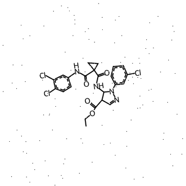 CCOC(=O)C1C=NN(c2cccc(Cl)c2)C1NC(=O)C1(C(=O)Nc2ccc(Cl)c(Cl)c2)CC1